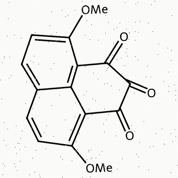 COc1ccc2ccc(OC)c3c2c1C(=O)C(=O)C3=O